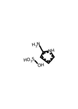 Nc1ccc[nH]1.O=S(=O)(O)O